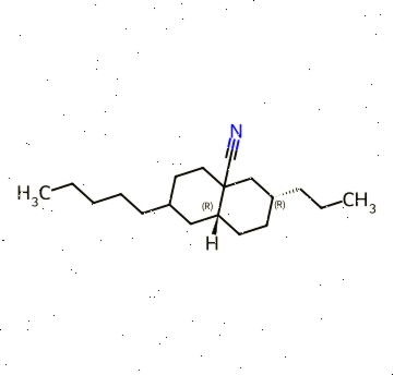 CCCCCC1CCC2(C#N)C[C@H](CCC)CC[C@@H]2C1